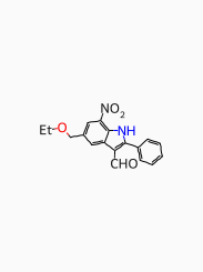 CCOCc1cc([N+](=O)[O-])c2[nH]c(-c3ccccc3)c(C=O)c2c1